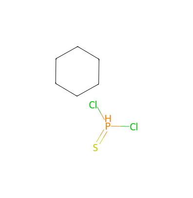 C1CCCCC1.S=[PH](Cl)Cl